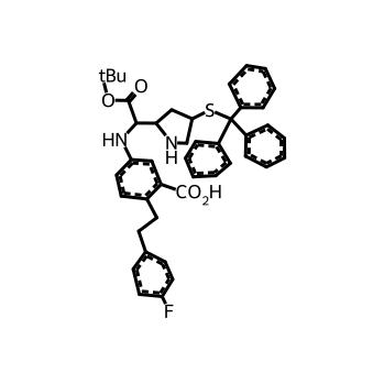 CC(C)(C)OC(=O)C(Nc1ccc(CCc2ccc(F)cc2)c(C(=O)O)c1)C1CC(SC(c2ccccc2)(c2ccccc2)c2ccccc2)CN1